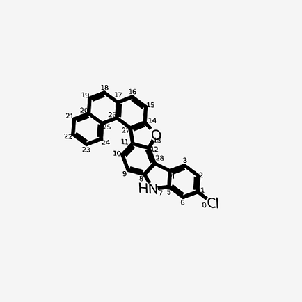 Clc1ccc2c(c1)[nH]c1ccc3c(oc4ccc5ccc6ccccc6c5c43)c12